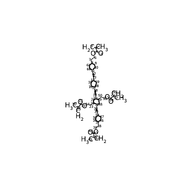 C=C(C)C(=O)OCCc1ccc(C#Cc2ccc(C#Cc3cc(CCOC(=O)C(=C)C)c(C#Cc4ccc(CCOC(=O)C(=C)C)cc4)cc3CCOC(=O)C(=C)C)cc2)cc1